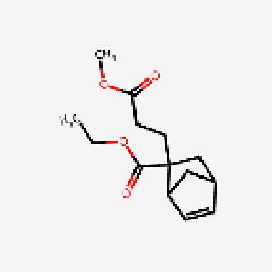 CCOC(=O)C1(CCC(=O)OC)CC2C=CC1C2